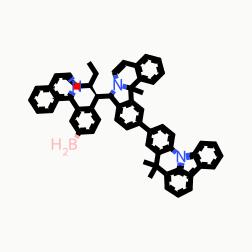 Bc1ccc([C@@H](C(CC)CC)C2c3ccc(-c4ccc5c(c4)C(C)(C)c4cccc6c7ccccc7n-5c46)cc3C3(C)c4ccccc4C=CN23)c(-c2nccc3ccccc23)c1